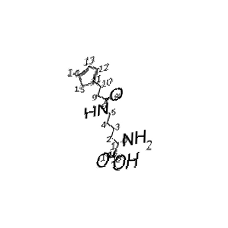 N[C@@H](CCCCNC(=O)CCC1=CC=CC1)C(=O)O